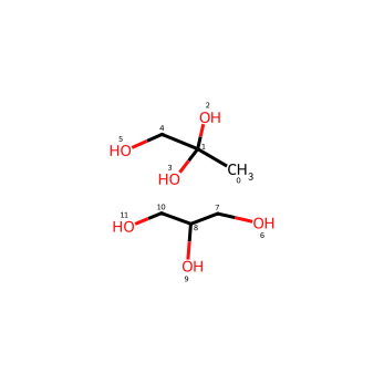 CC(O)(O)CO.OCC(O)CO